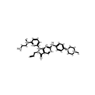 C=CCn1c(=O)c2cnc(Nc3ccc(N4CCN(C)CC4)cc3)nc2n1-c1cccc(N(C)CCO)n1